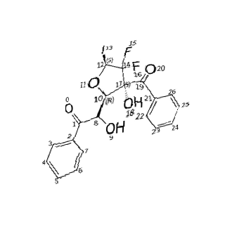 O=C(c1ccccc1)C(O)[C@H]1O[C@@H](I)C(F)(F)[C@@]1(O)C(=O)c1ccccc1